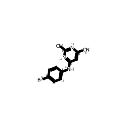 N#Cc1cc(Nc2ccc(Br)cc2)nc(Cl)n1